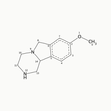 COc1ccc2c(c1)CN1CCNCC21